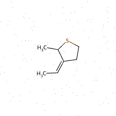 C/C=C1/CCSC1C